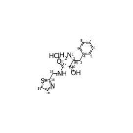 Cl.N[C@H](Cc1ccccc1)[C@H](O)C(=O)NCc1nccs1